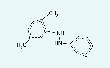 Cc1ccc(C)c(NNc2ccccc2)c1